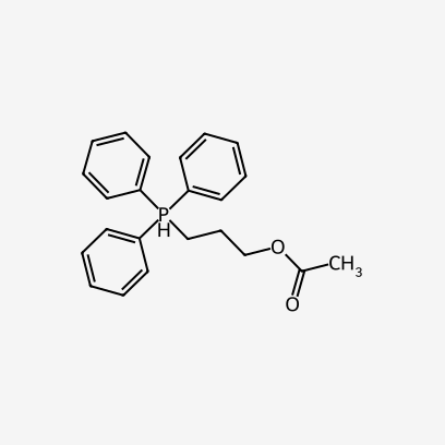 CC(=O)OCCC[PH](c1ccccc1)(c1ccccc1)c1ccccc1